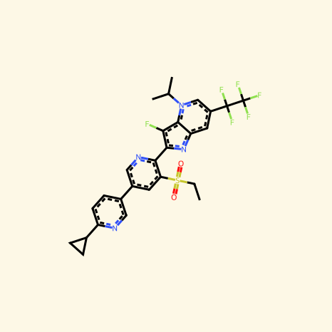 CCS(=O)(=O)c1cc(-c2ccc(C3CC3)nc2)cnc1-c1nc2cc(C(F)(F)C(F)(F)F)cn(C(C)C)c-2c1F